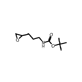 CC(C)(C)OC(=O)NCCCC1CO1